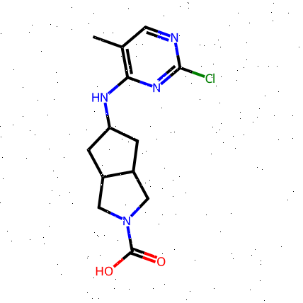 Cc1cnc(Cl)nc1NC1CC2CN(C(=O)O)CC2C1